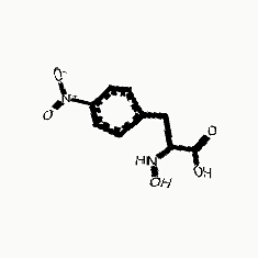 O=C(O)C(Cc1ccc([N+](=O)[O-])cc1)NO